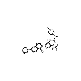 CC(C(=O)Nc1cc(-n2cnc3cc(-c4cccnc4)ccc3c2=O)ccc1OC(F)(F)F)N1CCN(C)CC1